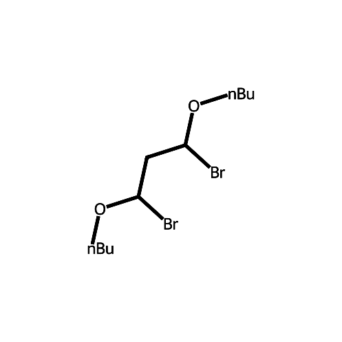 CCCCOC(Br)CC(Br)OCCCC